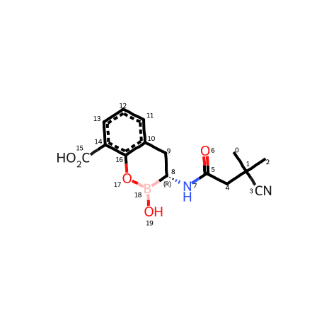 CC(C)(C#N)CC(=O)N[C@H]1Cc2cccc(C(=O)O)c2OB1O